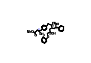 COC(=O)/C=C(\C)c1ccc(C[C@@H](C)N(C[C@H](O)COc2ccccc2)C[C@@H](O)c2ccccc2)cc1